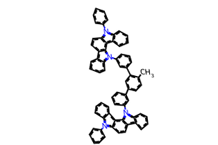 Cc1ccc(-c2cccc(-n3c4ccccc4c4ccc5c(c6ccccc6n5-c5ccccc5)c43)c2)cc1-c1cccc(-n2c3ccccc3c3ccc4c(c5ccccc5n4-c4ccccc4)c32)c1